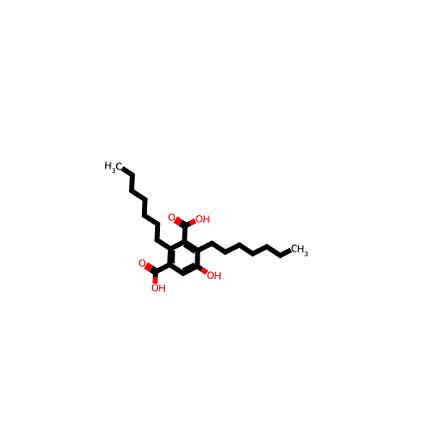 CCCCCCCc1c(O)cc(C(=O)O)c(CCCCCCC)c1C(=O)O